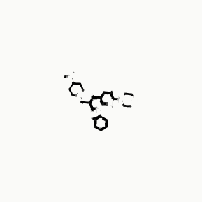 CN(C)C1CCN(C(=O)c2c(=O)c3cc(F)c(N4CCOCC4)nc3n3c2sc2ccccc23)CC1